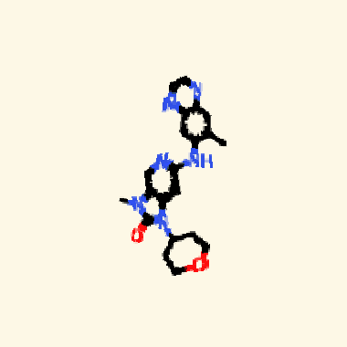 Cc1cc2nccnc2cc1Nc1cc2c(cn1)n(C)c(=O)n2C1CCOCC1